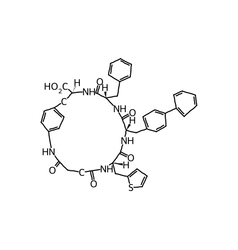 O=C1CCC(=O)N[C@@H](Cc2cccs2)C(=O)N[C@@H](Cc2ccc(-c3ccccc3)cc2)C(=O)N[C@@H](Cc2ccccc2)C(=O)N[C@H](C(=O)O)Cc2ccc(cc2)N1